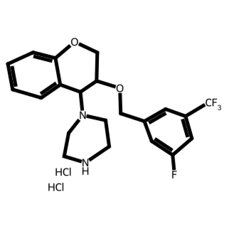 Cl.Cl.Fc1cc(COC2COc3ccccc3C2N2CCNCC2)cc(C(F)(F)F)c1